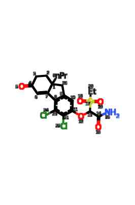 CCCC12CCC(=O)C=C1c1c(cc(OC(C(N)=O)S(=O)(=O)CC)c(Cl)c1Cl)C2